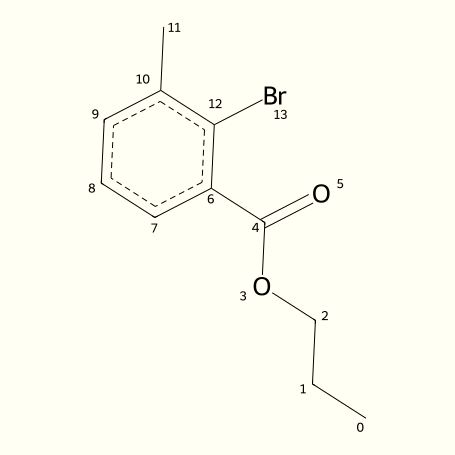 CCCOC(=O)c1cccc(C)c1Br